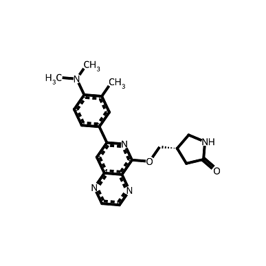 Cc1cc(-c2cc3nccnc3c(OC[C@@H]3CNC(=O)C3)n2)ccc1N(C)C